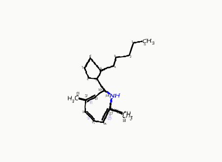 CCCCCC1CCCC1C1/C=C(C)/C=C\C=C(\C)N1